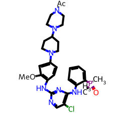 COc1cc(N2CCC(N3CCN(C(C)=O)CC3)CC2)ccc1Nc1ncc(Cl)c(Nc2ccccc2P(C)(C)=O)n1